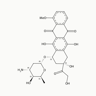 COc1cccc2c1C(=O)c1c(O)c3c(c(O)c1C2=O)C[C@@](O)(C(=O)CO)C[C@@H]3O[C@H]1C[C@@H](N)[C@H](O)[C@H](C)O1